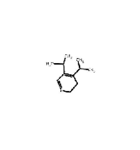 CC(C)C1=C(C(C)C)CCN=C1